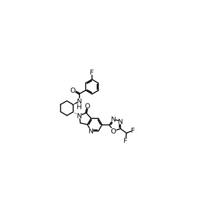 O=C(N[C@@H]1CCCC[C@H]1N1Cc2ncc(-c3nnc(C(F)F)o3)cc2C1=O)c1cccc(F)c1